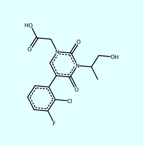 CC(CO)n1c(=O)c(-c2cccc(F)c2Cl)cn(CC(=O)O)c1=O